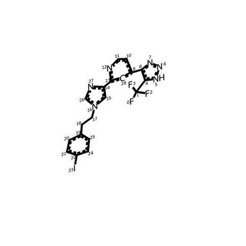 FC(F)(F)c1[nH]nnc1-c1ccnc(-c2cn(CCc3ccc(I)cc3)cn2)c1